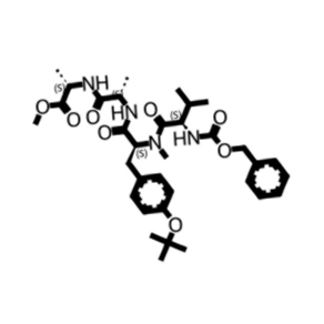 COC(=O)[C@H](C)NC(=O)[C@H](C)NC(=O)[C@H](Cc1ccc(OC(C)(C)C)cc1)N(C)C(=O)[C@@H](NC(=O)OCc1ccccc1)C(C)C